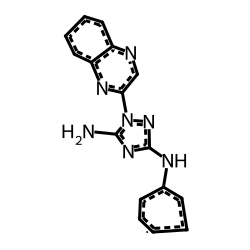 Nc1nc(Nc2cc[c]cc2)nn1-c1cnc2ccccc2n1